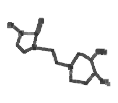 CCN1CCN(CCN2CCC(N)C(OC)C2)C1=O